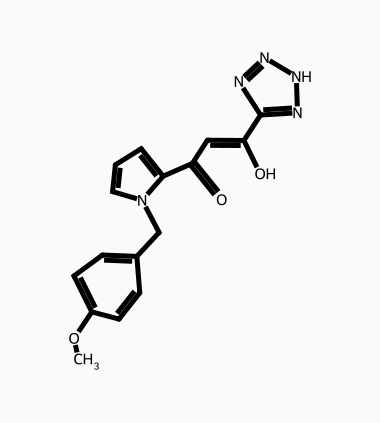 COc1ccc(Cn2cccc2C(=O)C=C(O)c2nn[nH]n2)cc1